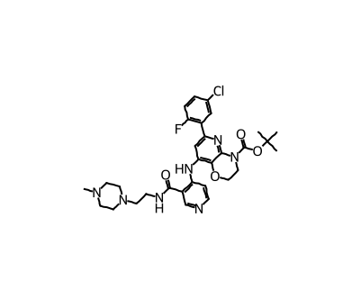 CN1CCN(CCNC(=O)c2cnccc2Nc2cc(-c3cc(Cl)ccc3F)nc3c2OCCN3C(=O)OC(C)(C)C)CC1